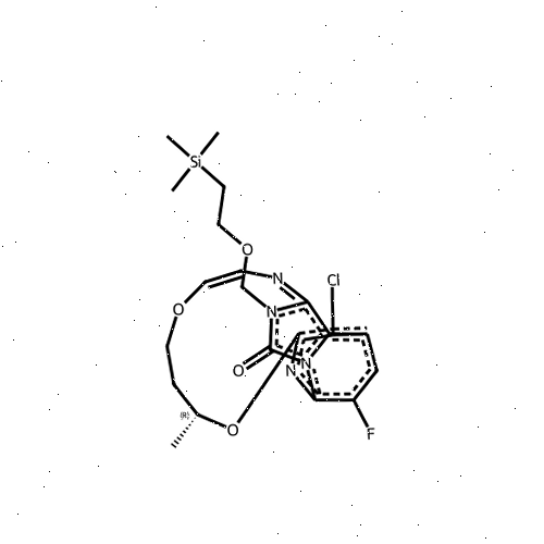 C[C@@H]1CCOC=CN=c2c3c4cc(F)c(nc(c4Cl)O1)n3c(=O)n2COCC[Si](C)(C)C